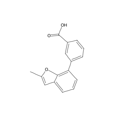 Cc1cc2cccc(-c3cccc(C(=O)O)c3)c2o1